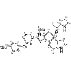 CCCCn1c(-c2cccc(Oc3ccc(C(C)(C)C)cc3)c2)nc2c(OC(C)C3CCCN3)cc(OC(C)C3CCCN3)cc21